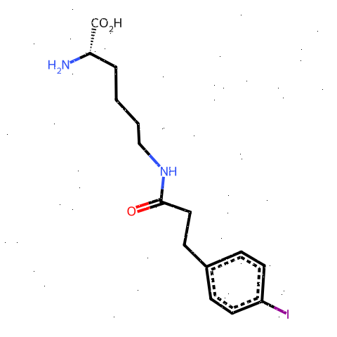 N[C@@H](CCCCNC(=O)CCc1ccc(I)cc1)C(=O)O